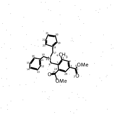 COC(=O)c1cc(C)c(CN(Cc2ccccc2)Cc2ccccc2)c(C(=O)OC)c1